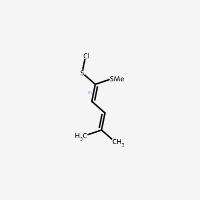 CS/C(=C\C=C(C)C)SCl